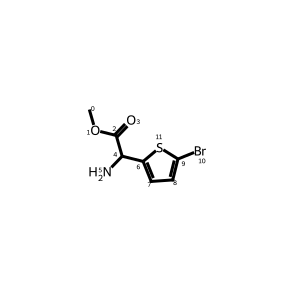 COC(=O)C(N)c1ccc(Br)s1